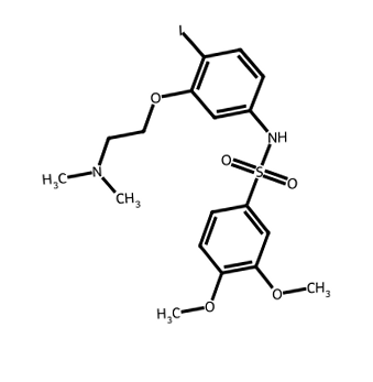 COc1ccc(S(=O)(=O)Nc2ccc(I)c(OCCN(C)C)c2)cc1OC